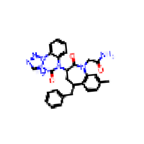 Cc1ccc2c(c1)N(CC(N)=O)C(=O)C(N(C(N)=O)c1ccccc1-n1ncnn1)CC2Cc1ccccc1